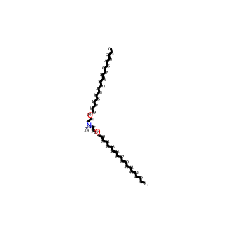 CCCCCCCCC=CCCCCCCCCCCOCCN(C)CCOCCCCCCCCCCC=CCCCCCCCC